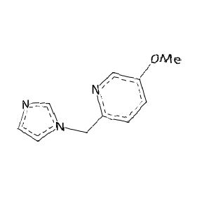 COc1ccc(Cn2ccnc2)nc1